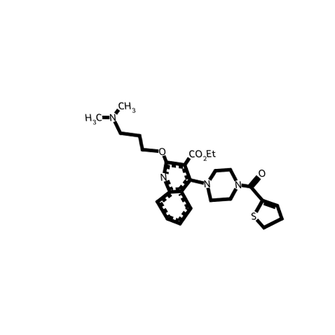 CCOC(=O)c1c(OCCCN(C)C)nc2ccccc2c1N1CCN(C(=O)C2=CCCS2)CC1